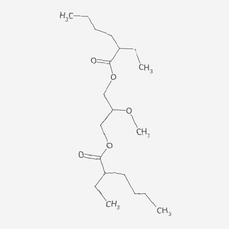 CCCCC(CC)C(=O)OCC(COC(=O)C(CC)CCCC)OC